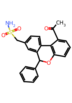 CC(=O)c1cccc2c1-c1ccc(CS(N)(=O)=O)cc1C(c1ccccc1)O2